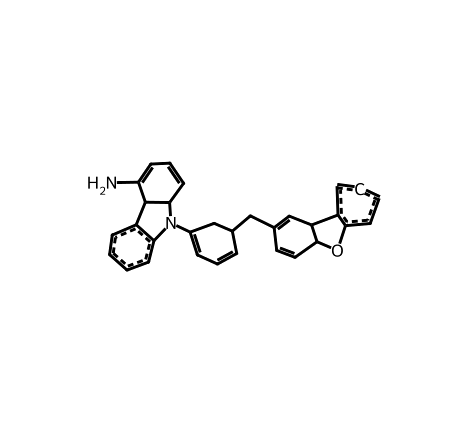 NC1=CC=CC2C1c1ccccc1N2C1=CC=CC(CC2=CC3c4ccccc4OC3C=C2)C1